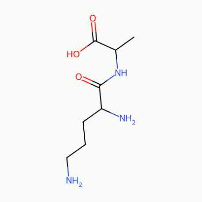 CC(NC(=O)C(N)CCCN)C(=O)O